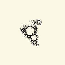 C[C@H](CO[C@H]1/C=C/C[C@H](C)[C@@H](CC2CC2)S(=O)(=O)NC(=O)c2ccc3c(c2)N(CCCCc2cc(Cl)ccc2CO3)C[C@@H]2CC[C@H]21)N1CCOCC1